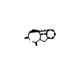 O=C1NC(=O)C2Cc3cccc4c1ccc2c34